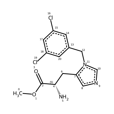 COC(=O)[C@@H](N)Cc1cncn1Cc1cc(Cl)cc(Cl)c1